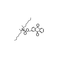 CCCCCCC(C)N(C(=O)OCc1ccc2c(c1)C(=O)c1ccccc1C2=O)C(C)CCCCCC